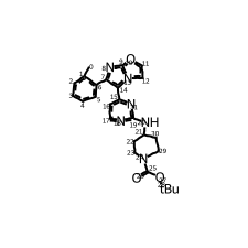 Cc1ccccc1-c1nc2occn2c1-c1ccnc(NC2CCN(C(=O)OC(C)(C)C)CC2)n1